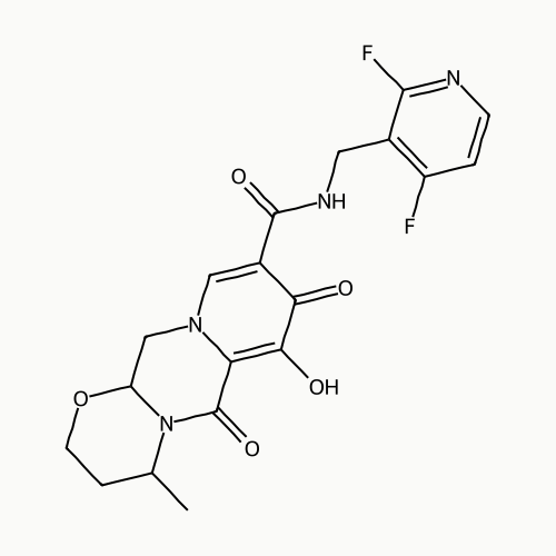 CC1CCOC2Cn3cc(C(=O)NCc4c(F)ccnc4F)c(=O)c(O)c3C(=O)N12